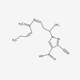 C=C(/C=C\CC)/N=C\CC(C)n1cc(C(=O)O)c(C#N)n1